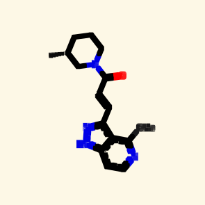 COc1nccc2[nH]nc(/C=C/C(=O)N3CCC[C@@H](C)C3)c12